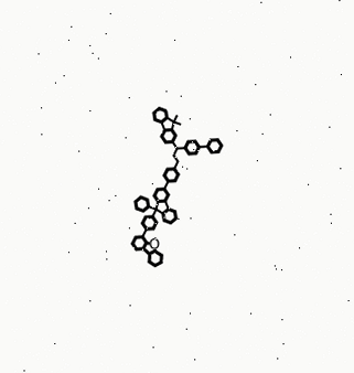 CC1(C)c2ccccc2-c2ccc(C(CCc3ccc(-c4ccc5c(c4)-c4ccccc4C5(c4ccccc4)c4ccc(-c5cccc6c5oc5ccccc56)cc4)cc3)c3ccc(-c4ccccc4)cc3)cc21